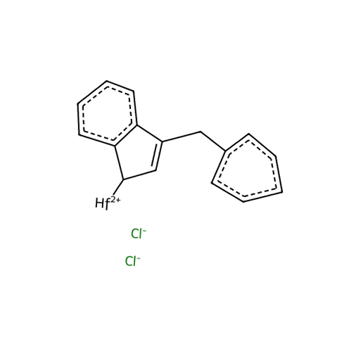 [Cl-].[Cl-].[Hf+2][CH]1C=C(Cc2ccccc2)c2ccccc21